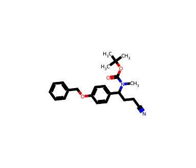 CN(C(=O)OC(C)(C)C)C(CCC#N)c1ccc(OCc2ccccc2)cc1